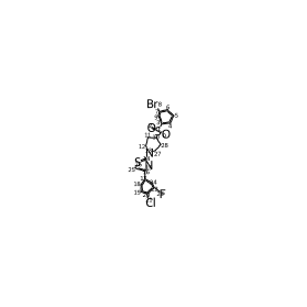 O=S(=O)(c1cccc(Br)c1)C1CCN(c2nc(-c3ccc(Cl)c(F)c3)cs2)CC1